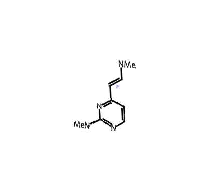 CN/C=C/c1ccnc(NC)n1